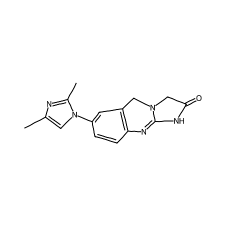 Cc1cn(-c2ccc3c(c2)CN2CC(=O)NC2=N3)c(C)n1